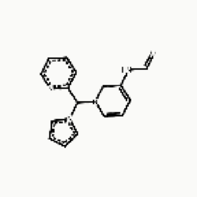 O=CNC1=CC=CN(C(c2ccccn2)n2cccc2)C1